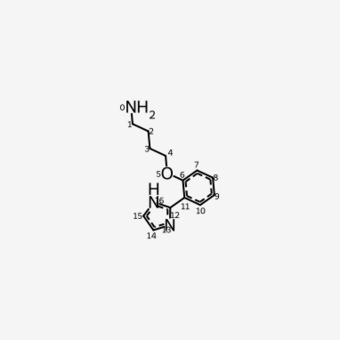 NCCCCOc1ccccc1-c1ncc[nH]1